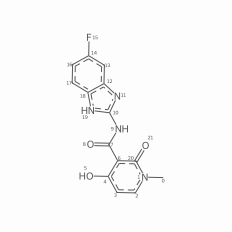 Cn1ccc(O)c(C(=O)Nc2nc3cc(F)ccc3[nH]2)c1=O